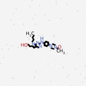 CCCCCn1c(CCO)cc2cnc(Nc3ccc(N4CCN(C(C)=O)CC4)cc3)nc21